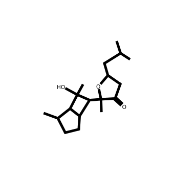 CC(C)CC1CC(=O)C(C)(C2C3CCC(C)C3C2(C)O)O1